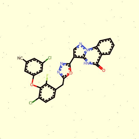 N#Cc1cc(Cl)cc(Oc2c(Cl)ccc(Cc3nnc(-c4cnn5c4[nH]c(=O)c4ccccc45)o3)c2F)c1